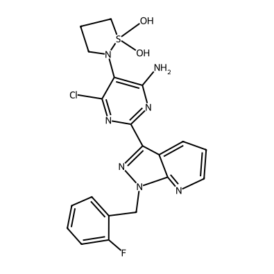 Nc1nc(-c2nn(Cc3ccccc3F)c3ncccc23)nc(Cl)c1N1CCCS1(O)O